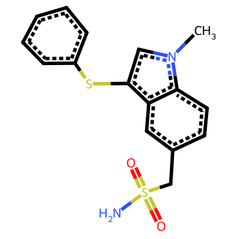 Cn1cc(Sc2ccccc2)c2cc(CS(N)(=O)=O)ccc21